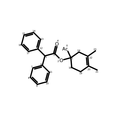 CC(=O)C1(OC(=O)C(c2ccccc2)c2ccccc2)CCC(C)=C(C)C1